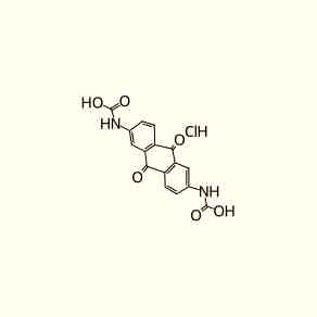 Cl.O=C(O)Nc1ccc2c(c1)C(=O)c1ccc(NC(=O)O)cc1C2=O